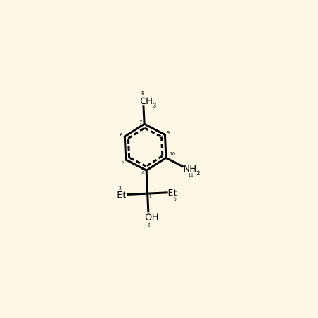 CCC(O)(CC)c1ccc(C)cc1N